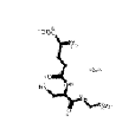 NC(CCC(=O)NC(CS)C(=O)NCC(=O)[O-])C(=O)[O-].[Cd+2]